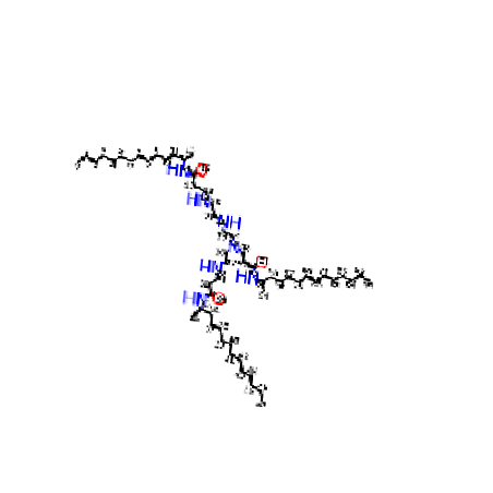 CCCCCCCCCCCCC(C)NC(=O)CCNCCNCCN(CCNCCC(=O)NC(C)CCCCCCCCCCCC)CCC(=O)NC(C)CCCCCCCCCCCC